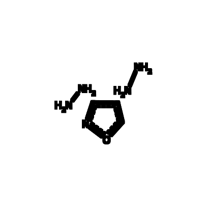 NN.NN.c1cnoc1